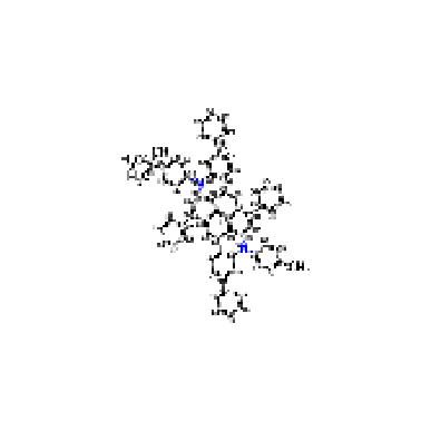 Cc1ccc(N(c2cccc(-c3ccccc3)c2)c2cc(-c3ccccc3)c3ccc4c(N(c5ccc([Si](C)(C)C)cc5)c5cccc(-c6ccccc6)c5)cc(-c5ccccc5)c5ccc2c3c54)cc1